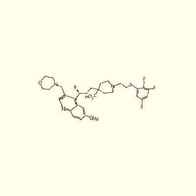 COc1ccc2ncc(CN3CCOCC3)c([C@@H](F)CCC3(C(=O)O)CCN(CCSc4cc(F)cc(F)c4F)CC3)c2c1